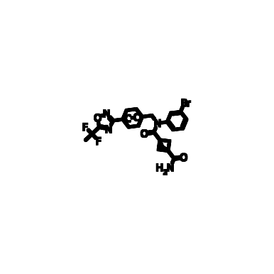 CC(F)(F)c1nc(C23CCC(CN(C(=O)C45CC(C(N)=O)(C4)C5)c4cccc(Br)c4)(CC2)CC3)no1